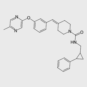 Cc1cnc(Oc2cccc(C=C3CCN(C(=O)NCC4CC4c4ccccc4)CC3)c2)cn1